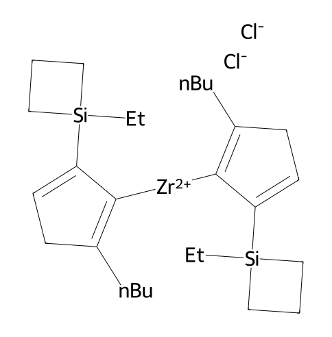 CCCCC1=[C]([Zr+2][C]2=C(CCCC)CC=C2[Si]2(CC)CCC2)C([Si]2(CC)CCC2)=CC1.[Cl-].[Cl-]